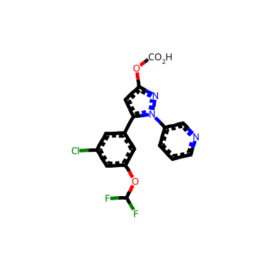 O=C(O)Oc1cc(-c2cc(Cl)cc(OC(F)F)c2)n(-c2cccnc2)n1